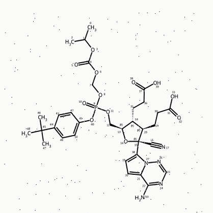 CC(C)OC(=O)OCOP(=O)(OC[C@@H]1O[C@@](C#N)(c2ccc3c(N)ncnn23)[C@H](CCC(=O)O)[C@H]1CCC(=O)O)Oc1ccc(C(C)(C)C)cc1